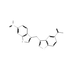 CC(=O)c1ccc2[nH]cc(Cc3c[nH]c4cc([N+](=O)[O-])ccc34)c2c1